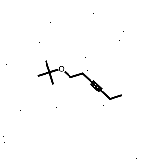 CCC#CCCOC(C)(C)C